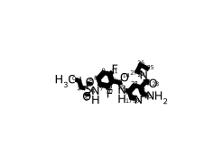 CCCS(=O)(=O)Nc1ccc(F)c(C(=O)Nc2cnc(N)c(C(=O)N3CCC3)c2)c1F